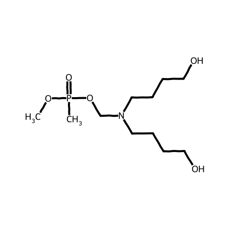 COP(C)(=O)OCN(CCCCO)CCCCO